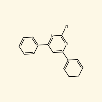 Clc1nc(C2=CCCC=C2)cc(-c2ccccc2)n1